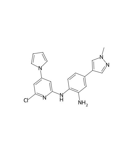 Cn1cc(-c2ccc(Nc3cc(-n4cccc4)cc(Cl)n3)c(N)c2)cn1